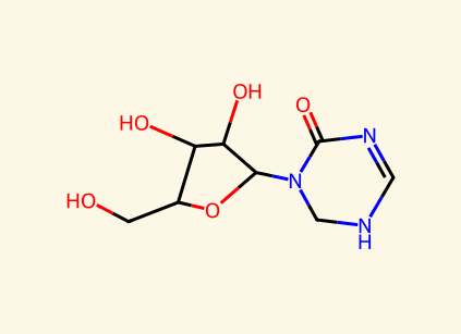 O=C1N=CNCN1C1OC(CO)C(O)C1O